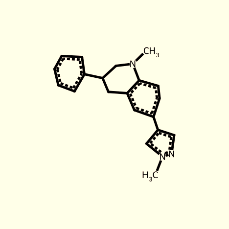 CN1CC(c2ccccc2)Cc2cc(-c3cnn(C)c3)ccc21